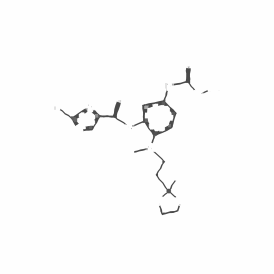 CCC1(CCN(C)c2ccc(NC(=O)OC(C)(C)C)cc2NC(=O)c2csc(Br)n2)OCCO1